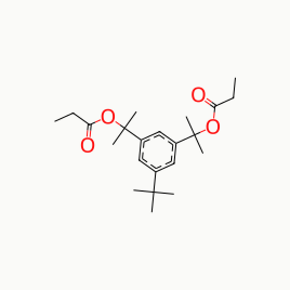 CCC(=O)OC(C)(C)c1cc(C(C)(C)C)cc(C(C)(C)OC(=O)CC)c1